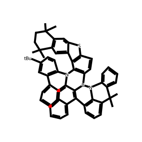 CC(C)(C)c1ccc(N2c3cc4ccccc4c4c3B(c3ccc5sc6cc7c(cc6c5c32)C(C)(C)CCC7(C)C)N2c3ccccc3C(C)(C)c3cccc-4c32)c(-c2ccccc2)c1